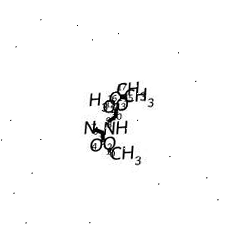 CCOC(=O)C(C#N)NCCC(=O)OC(C)(C)C